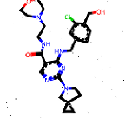 O=C(NCCN1CCOCC1)c1cnc(N2CCC3(CC3)C2)nc1NCc1ccc(CO)c(Cl)c1